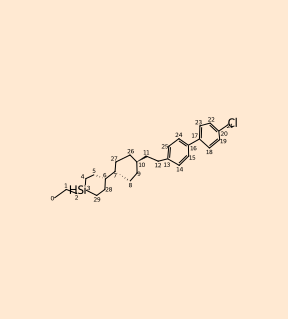 CCC[Si@H]1CC[C@H]([C@H]2CC[C@H](CCc3ccc(-c4ccc(Cl)cc4)cc3)CC2)CC1